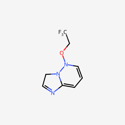 FC(F)(F)CON1C=CC=C2N=CCN21